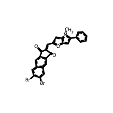 Cn1c(-c2ccccc2)cc2oc(C=C3C(=O)c4cc5cc(Br)c(Br)cc5cc4C3=O)cc21